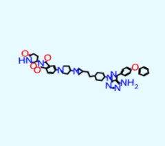 Nc1ncnc2c1c(-c1ccc(Oc3ccccc3)cc1)nn2C1CCC(CCC2CN(C3CCN(c4ccc5c(c4)C(=O)N(C4CCC(=O)NC4=O)C5=O)CC3)C2)CC1